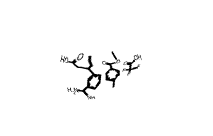 CCC(CC(=O)O)c1cccc(C(=N)N)c1.COC(=O)c1ccc(C)cc1.O=C(O)C(F)(F)F